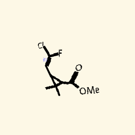 COC(=O)C1C(/C=C(\F)Cl)C1(C)C